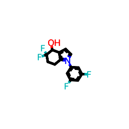 OC1c2ccn(-c3cc(F)cc(F)c3)c2CCC1(F)F